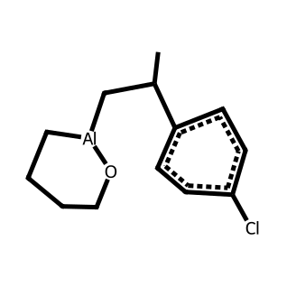 CC([CH2][Al]1[CH2]CCC[O]1)c1ccc(Cl)cc1